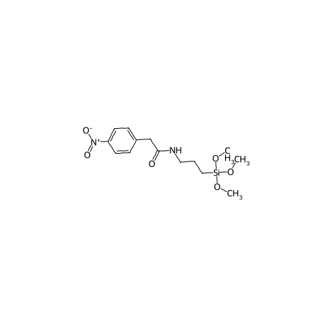 CO[Si](CCCNC(=O)Cc1ccc([N+](=O)[O-])cc1)(OC)OC